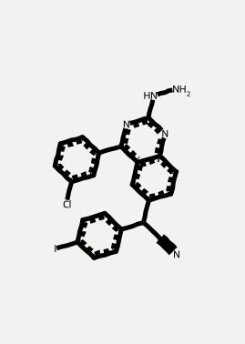 N#CC(c1ccc(I)cc1)c1ccc2nc(NN)nc(-c3cccc(Cl)c3)c2c1